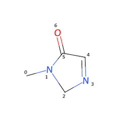 CN1CN=CC1=O